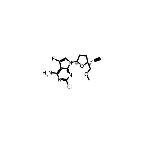 C#C[C@@]1(COC)CC[C@H](n2cc(F)c3c(N)nc(Cl)nc32)O1